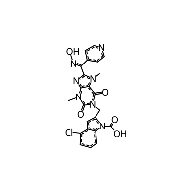 Cn1c(C(=NO)c2ccncc2)nc2c1c(=O)n(Cc1cc3c(Cl)cccc3n1C(=O)O)c(=O)n2C